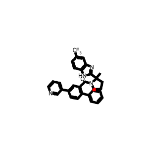 CC1(c2nc3cc(C(F)(F)F)ccc3[nH]2)CCCN1C(=O)c1cc(-c2cccnc2)ccc1-c1ccccc1